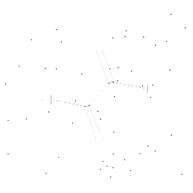 C=C(I)C(=O)Cl